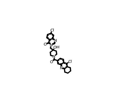 O=C(c1ccc2c(Cl)c3c(nc2c1)CCCC3)N1CCC(O)(Cn2cnc3cc(Cl)ccc3c2=O)CC1